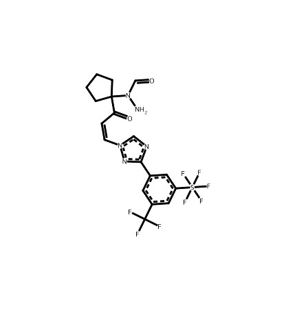 NN(C=O)C1(C(=O)/C=C\n2cnc(-c3cc(C(F)(F)F)cc(S(F)(F)(F)(F)F)c3)n2)CCCC1